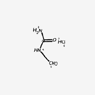 Cl.NC(=O)NC=O